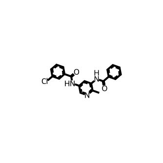 Cc1ncc(NC(=O)c2cccc(Cl)c2)cc1NC(=O)c1ccccc1